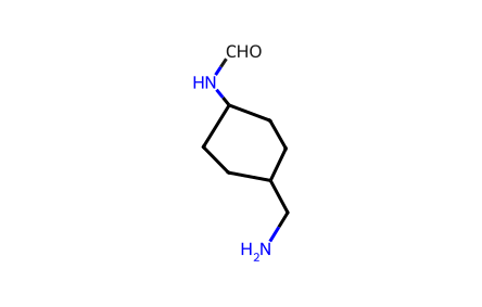 NCC1CCC(NC=O)CC1